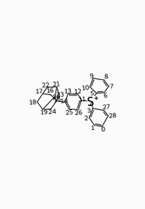 c1ccc([S+](c2ccccc2)c2ccc(C34CC5CC(CC(C5)C3)C4)cc2)cc1